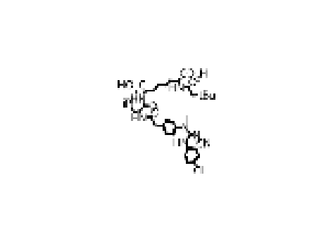 CC(C)CC(NC(=O)Cc1ccc(NC(=NC#N)Nc2ccc(Cl)cc2)cc1)C(=O)NC(CCCCC(NC(=O)CC(C)(C)C)C(=O)O)C(=O)O